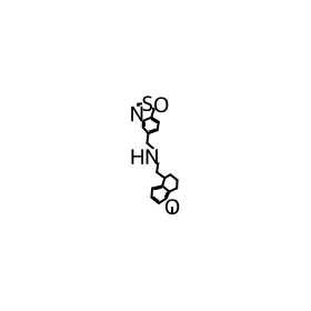 COc1cccc2c1CCCC2CCNCCc1ccc2c(=O)scnc2c1